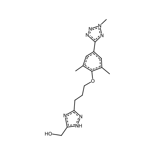 Cc1cc(-c2nnn(C)n2)cc(C)c1OCCCc1n[nH]c(CO)n1